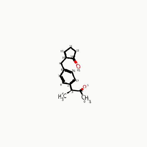 CC(=O)[C@@H](C)c1ccc(CC2CCCC2=O)cc1